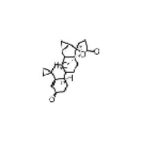 CC[C@]12CCC3C(CC4(CC4)C4=CC(=O)CC[C@@H]43)C1C1CC1[C@@]21CCC(=O)O1